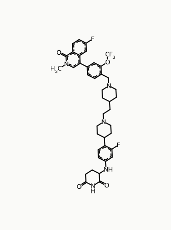 Cn1cc(-c2ccc(CN3CCC(CCN4CCC(c5ccc(NC6CCC(=O)NC6=O)cc5F)CC4)CC3)c(OC(F)(F)F)c2)c2cc(F)ccc2c1=O